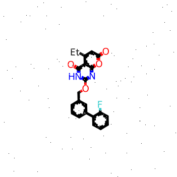 CCc1cc(=O)oc2nc(OCc3cccc(-c4ccccc4F)c3)[nH]c(=O)c12